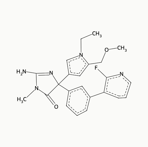 CCn1cc(C2(c3cccc(-c4cccnc4F)c3)N=C(N)N(C)C2=O)cc1COC